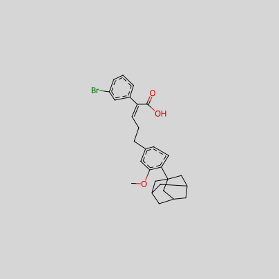 COc1cc(CCC=C(C(=O)O)c2cccc(Br)c2)ccc1C12CC3CC(CC(C3)C1)C2